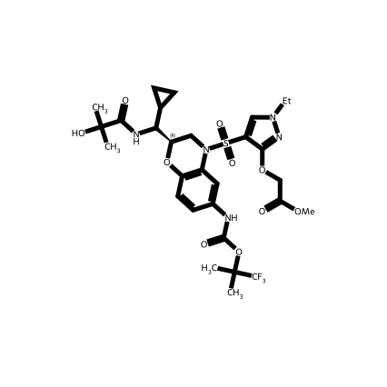 CCn1cc(S(=O)(=O)N2C[C@H](C(NC(=O)C(C)(C)O)C3CC3)Oc3ccc(NC(=O)OC(C)(C)C(F)(F)F)cc32)c(OCC(=O)OC)n1